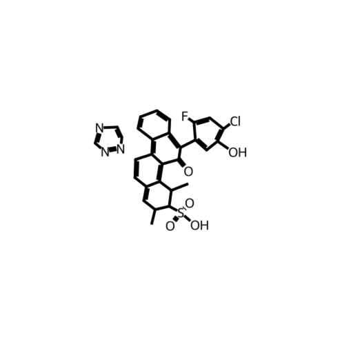 CC1C=c2ccc3c(c2C(C)C1S(=O)(=O)O)C(=O)C(c1cc(O)c(Cl)cc1F)=c1ccccc1=3.c1cnncn1